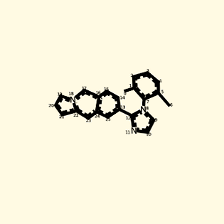 Cc1cccc(C)c1-n1ccnc1-c1ccc2cn3cccc3cc2c1